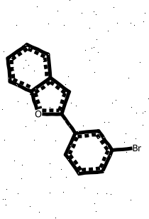 Brc1cccc(-c2cc3ccccc3o2)c1